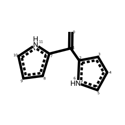 C=C(c1ccc[nH]1)c1ccc[nH]1